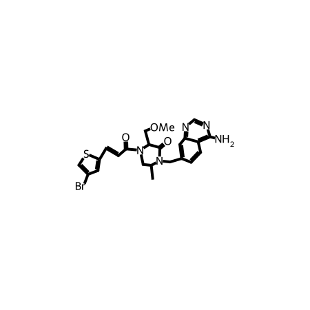 COCC1C(=O)N(Cc2ccc3c(N)ncnc3c2)C(C)CN1C(=O)C=Cc1cc(Br)cs1